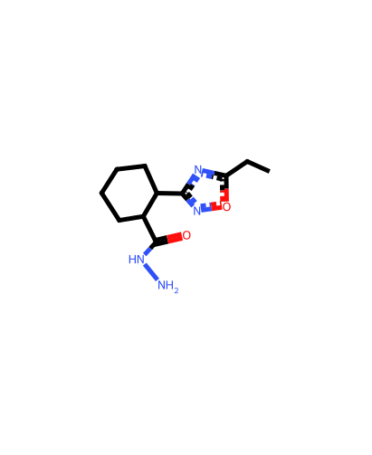 CCc1nc(C2CCCCC2C(=O)NN)no1